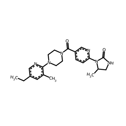 CCc1cnc(N2CCN(C(=O)c3ccc(N4C(=O)NCC4C)nc3)CC2)c(C)c1